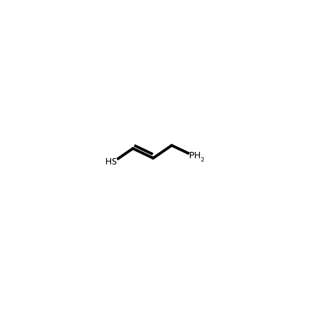 PCC=CS